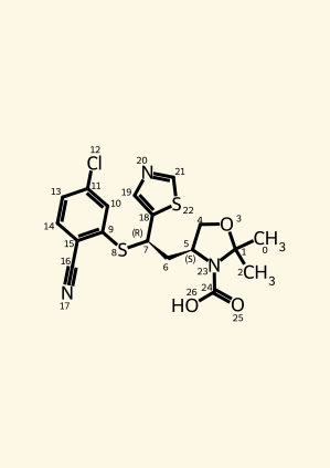 CC1(C)OC[C@H](C[C@@H](Sc2cc(Cl)ccc2C#N)c2cncs2)N1C(=O)O